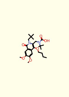 CCCCOc1c(CN(C(=O)O)C(C)(C)C)n(CC(C)(C)C)c(=O)c2cc(OC)c(OC)cc12